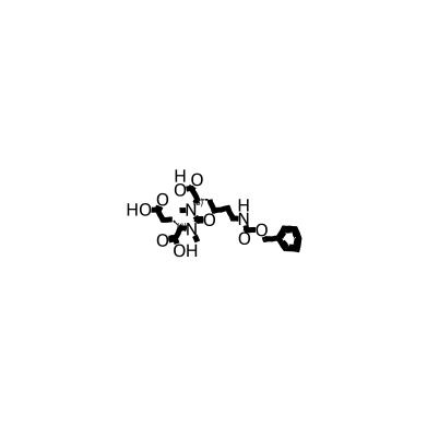 CN(C(=O)N(C)[C@@H](CCC(=O)O)C(=O)O)[C@@H](CCCCNC(=O)OCc1ccccc1)C(=O)O